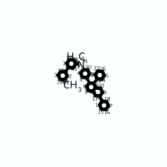 CCN(c1ccc(-c2ccc3cc(-c4ccccc4)ccc3c2-c2ccccc2)cc1)c1cccc(-c2cccc(C)c2)c1